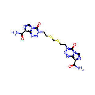 NC(=O)c1ncn2c(=O)n(CCSCSCCn3nnc4c(C(N)=O)ncn4c3=O)nnc12